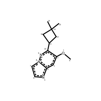 COc1cc2nccn2nc1C1CC(C)(C)C1